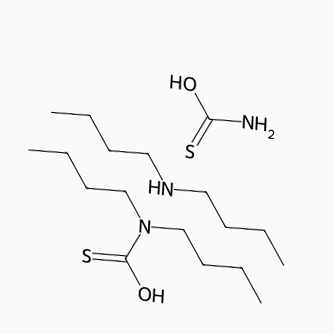 CCCCN(CCCC)C(O)=S.CCCCNCCCC.NC(O)=S